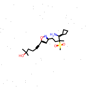 CC(C)(O)CCC#Cc1cc(CCC(C)(C(N)=C2CCC2)S(C)(=O)=O)no1